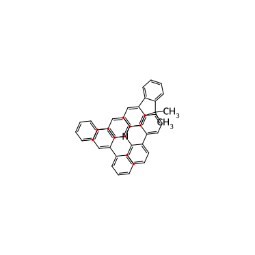 CC1(C)c2ccccc2-c2ccc(N(c3ccccc3-c3ccccc3)c3ccccc3-c3ccccc3-c3ccc(-c4ccccc4)cc3)cc21